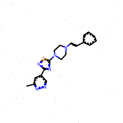 Cc1cc(-c2nsc(N3CCN(C=Cc4ccccc4)CC3)n2)cnn1